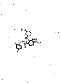 CCn1ncc2c(NC3CCCC(O)C3)c(C(=O)N[C@H](C)c3ccc(C)cc3C)cnc21